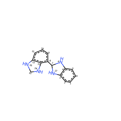 [c]1ccc2c(c1)NC(c1cccc3c1NCN3)N2